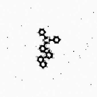 c1ccc(-c2nc(-c3ccccc3)nc(-c3cccc4c3oc3cccc(-c5cccc6ccccc56)c34)n2)cc1